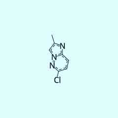 Cc1cn2nc(Cl)ccc2n1